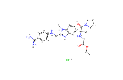 CCOC(=O)CN[C@@](C)(C(=O)N1CCCC1)c1ccc2c(c1)nc(CNc1ccc(C(=N)N)cc1)n2C.Cl